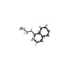 CC(C)SCc1nccc2ccccc12